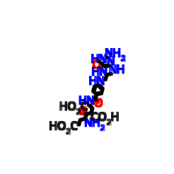 Nc1nc2c(c(=O)[nH]1)NC(CNc1ccc(C(=O)NC(CC(C(=O)O)C(=O)C(N)CCC(=O)O)C(=O)O)cc1)CN2